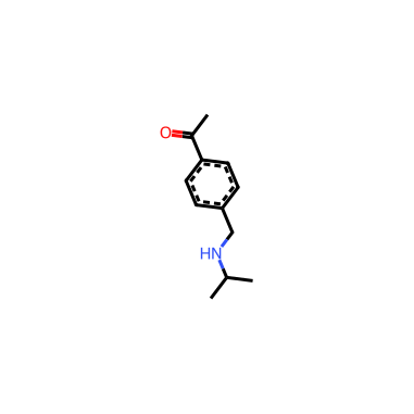 CC(=O)c1ccc(CNC(C)C)cc1